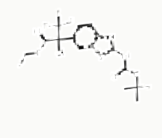 CCOC(=O)C(O)(c1ccc2nc(NC(=O)OC(C)(C)C)sc2c1)C(F)(F)F